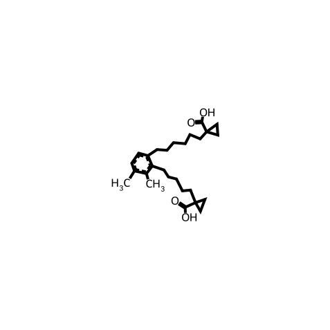 Cc1ccc(CCCCCCC2(C(=O)O)CC2)c(CCCCCC2(C(=O)O)CC2)c1C